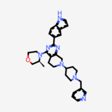 C[C@H]1COCCN1c1nc(-c2ccc3[nH]ccc3c2)nc2c1CCN(C1CCN(Cc3cccnc3)CC1)C2